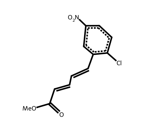 COC(=O)C=CC=Cc1cc([N+](=O)[O-])ccc1Cl